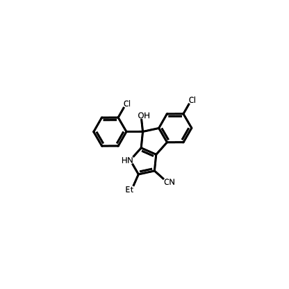 CCc1[nH]c2c(c1C#N)-c1ccc(Cl)cc1C2(O)c1ccccc1Cl